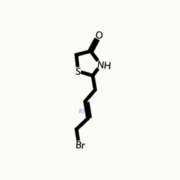 O=C1CSC(C/C=C/CBr)N1